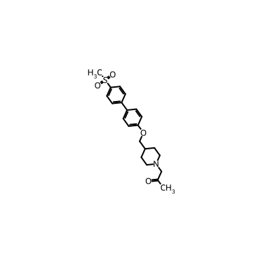 CC(=O)CN1CCC(COc2ccc(-c3ccc(S(C)(=O)=O)cc3)cc2)CC1